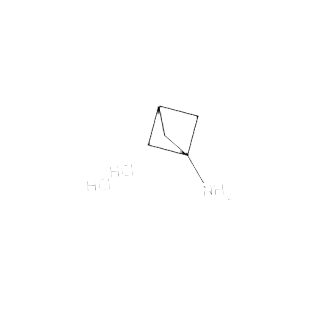 Cl.Cl.NC12CC(C1)C2